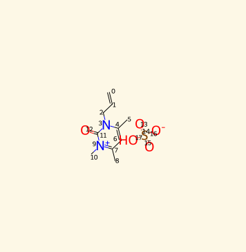 C=CCn1c(C)cc(C)[n+](C)c1=O.O=S(=O)([O-])O